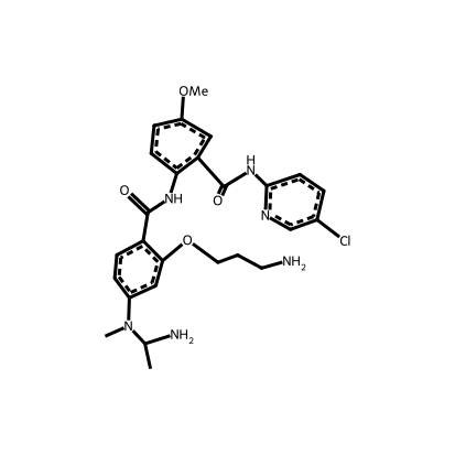 COc1ccc(NC(=O)c2ccc(N(C)C(C)N)cc2OCCCN)c(C(=O)Nc2ccc(Cl)cn2)c1